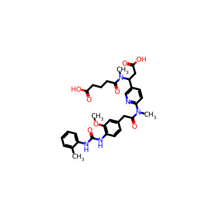 COc1cc(CC(=O)N(C)c2ccc(C(CC(=O)O)N(C)C(=O)CCCC(=O)O)cn2)ccc1NC(=O)Nc1ccccc1C